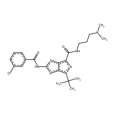 CN(C)CCCNC(=O)c1nn(C(C)(C)C)c2nc(NC(=O)c3cccc(Cl)c3)sc12